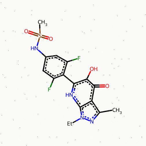 CCn1nc(C)c2c(=O)c(O)c(-c3c(F)cc(NS(C)(=O)=O)cc3F)[nH]c21